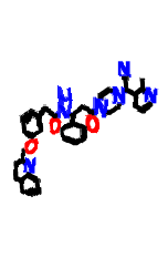 Cc1ncccc1C(C#N)N1CCN(C(=O)CC(NC(=O)Cc2cccc(OCc3ccc4ccccc4n3)c2)c2ccccc2)CC1